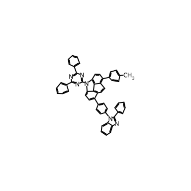 Cc1ccc(-c2ccc3c4c2ccc2c(-c5ccc(-n6c(-c7ccccc7)nc7ccccc76)cc5)ccc(c24)n3-c2nc(-c3ccccc3)nc(-c3ccccc3)n2)cc1